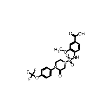 COc1cc(C(=O)O)ccc1NS(=O)(=O)N1CCN(c2ccc(OC(F)(F)F)cc2)C(=O)C1